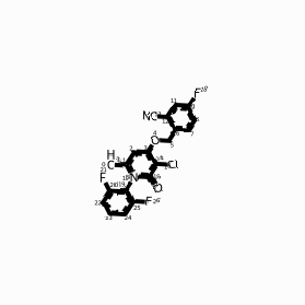 Cc1cc(OCc2ccc(F)cc2C#N)c(Cl)c(=O)n1-c1c(F)cccc1F